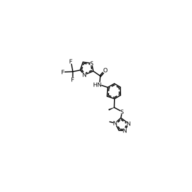 C[C@H](Sc1nncn1C)c1cccc(NC(=O)c2nc(C(F)(F)F)cs2)c1